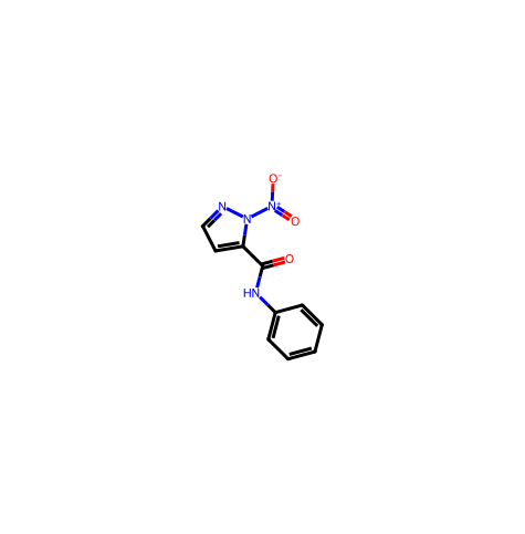 O=C(Nc1ccccc1)c1ccnn1[N+](=O)[O-]